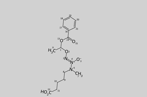 CC(O/N=[N+](\[O-])N(C)CCCCC(=O)O)OC(=O)c1ccccc1